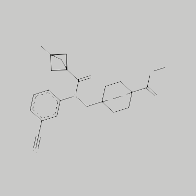 COC(=O)C12CCC(CN(C(=O)C34CC(F)(C3)C4)c3cccc(C#N)c3)(CC1)CC2